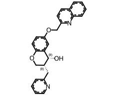 O[C@H]1c2cc(OCc3ccc4ccccc4n3)ccc2OC[C@H]1Cc1ccccn1